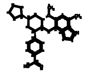 COc1cc(C)c2[nH]ccc2c1CN1CC[C@@H](C2CCCC2)C[C@H]1c1ccc(C(=O)O)cc1